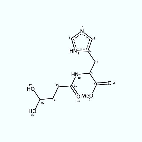 COC(=O)C(Cc1cnc[nH]1)NC(=O)CCC(O)O